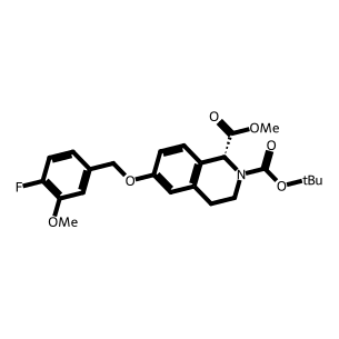 COC(=O)[C@H]1c2ccc(OCc3ccc(F)c(OC)c3)cc2CCN1C(=O)OC(C)(C)C